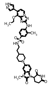 CCOc1c(-c2cn[nH]c2)ccn2nc(Nc3ccc(S(=O)(=O)NCCC4CCN(c5ccc6c(c5)n(C)c(=O)n6C5CCC(=O)NC5=O)CC4)cc3C)nc12